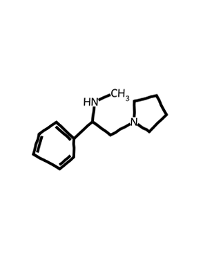 CNC(CN1CCCC1)c1ccccc1